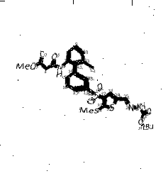 COC(=O)CC(=O)Nc1cccc(C)c1-c1cccc(S(=O)(=O)c2cc(C=NNC(=O)OC(C)(C)C)sc2SC)c1